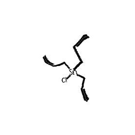 C=C[CH2][Sn]([Cl])([CH2]C=C)[CH2]C=C